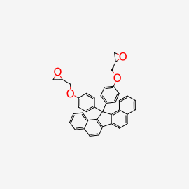 c1ccc2c3c(ccc2c1)-c1ccc2ccccc2c1C3(c1ccc(OCC2CO2)cc1)c1ccc(OC[C@H]2CO2)cc1